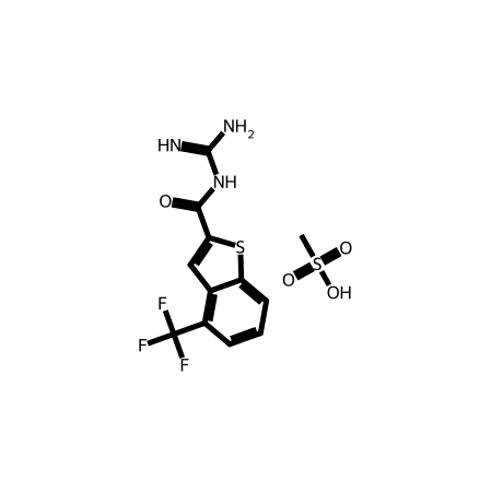 CS(=O)(=O)O.N=C(N)NC(=O)c1cc2c(C(F)(F)F)cccc2s1